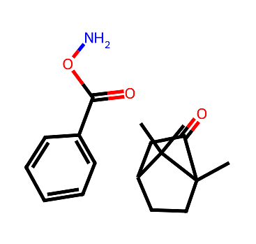 CC12CCC(CC1=O)C2(C)C.NOC(=O)c1ccccc1